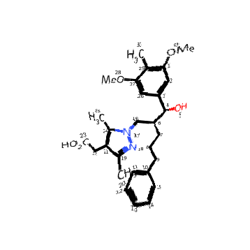 COc1cc([C@@H](O)[C@@H](CCCc2ccccc2)Cn2nc(C)c(CC(=O)O)c2C)cc(OC)c1C